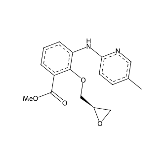 COC(=O)c1cccc(Nc2ccc(C)cn2)c1OC[C@H]1CO1